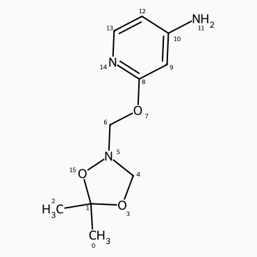 CC1(C)OCN(COc2cc(N)ccn2)O1